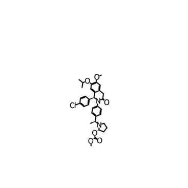 COC(=O)O[C@H]1CCCN1[C@@H](C)c1ccc(N2C(=O)Cc3cc(OC)c(OC(C)C)cc3[C@@H]2c2ccc(Cl)cc2)cc1